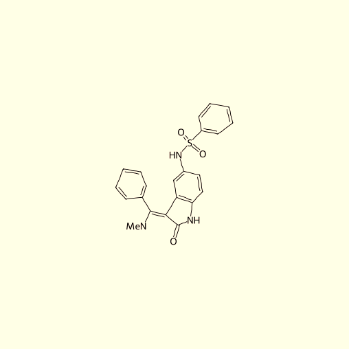 CNC(=C1C(=O)Nc2ccc(NS(=O)(=O)c3ccccc3)cc21)c1ccccc1